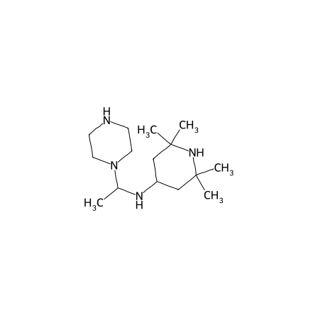 CC(NC1CC(C)(C)NC(C)(C)C1)N1CCNCC1